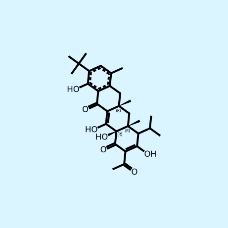 CC(=O)C1=C(O)C(C(C)C)[C@@]2(C)C[C@@]3(C)Cc4c(C)cc(C(C)(C)C)c(O)c4C(=O)C3=C(O)[C@@]2(O)C1=O